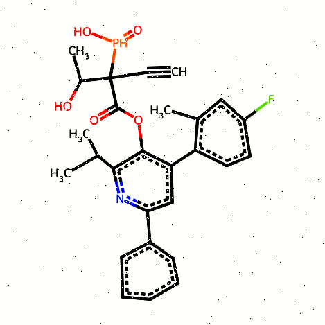 C#CC(C(=O)Oc1c(-c2ccc(F)cc2C)cc(-c2ccccc2)nc1C(C)C)(C(C)O)[PH](=O)O